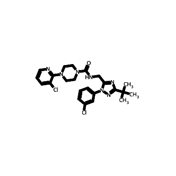 CC(C)(C)c1nc(CNC(=O)N2CCN(c3ncccc3Cl)CC2)n(-c2cccc(Cl)c2)n1